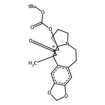 CC1=C2c3cc4c(cc3CCN3CCC[C@]23C(OC(=O)OC(C)(C)C)C1=O)OCO4